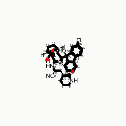 N#C[C@@H](C[C@@H]1CCCNC1=O)NC(=O)[C@@H]1[C@H]2CC[C@H](CC2(F)F)N1C(=O)[C@@]1(O)c2ccccc2-c2ccc(Cl)cc21